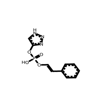 O=P(O)(OC=Cc1ccccc1)Oc1c[nH]nn1